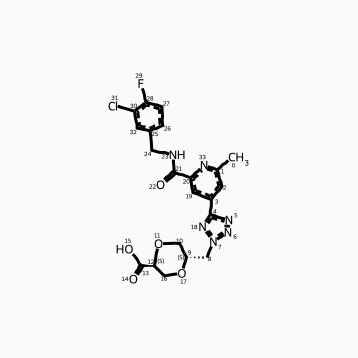 Cc1cc(-c2nnn(C[C@H]3CO[C@H](C(=O)O)CO3)n2)cc(C(=O)NCc2ccc(F)c(Cl)c2)n1